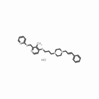 Cc1c(SCCCN2CCN(C/C=C/c3ccccc3)CC2)ccnc1CSc1ccccn1.Cl